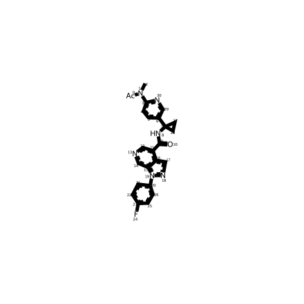 CC(=O)N(C)c1ccc(C2(NC(=O)c3cncc4c3cnn4-c3ccc(F)cc3)CC2)cn1